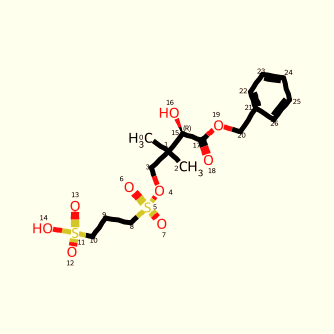 CC(C)(COS(=O)(=O)CCCS(=O)(=O)O)[C@@H](O)C(=O)OCc1ccccc1